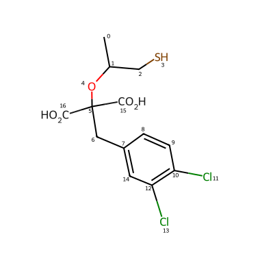 CC(CS)OC(Cc1ccc(Cl)c(Cl)c1)(C(=O)O)C(=O)O